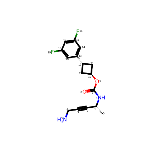 C[C@H](C#CCN)NC(=O)O[C@H]1C[C@H](c2cc(F)cc(F)c2)C1